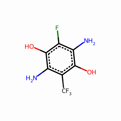 Nc1c(O)c(C(F)(F)F)c(N)c(O)c1F